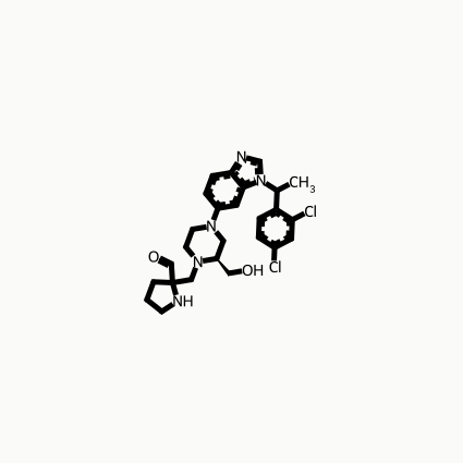 CC(c1ccc(Cl)cc1Cl)n1cnc2ccc(N3CCN(CC4(C=O)CCCN4)[C@H](CO)C3)cc21